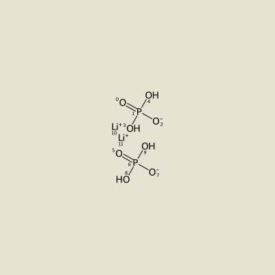 O=P([O-])(O)O.O=P([O-])(O)O.[Li+].[Li+]